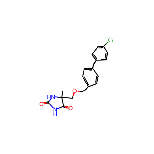 CC1(COCc2ccc(-c3ccc(Cl)cc3)cc2)NC(=O)NC1=O